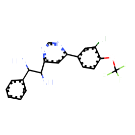 NC(c1ccccc1)C(N)c1cc(-c2ccc(OC(F)(F)F)c(Cl)c2)ncn1